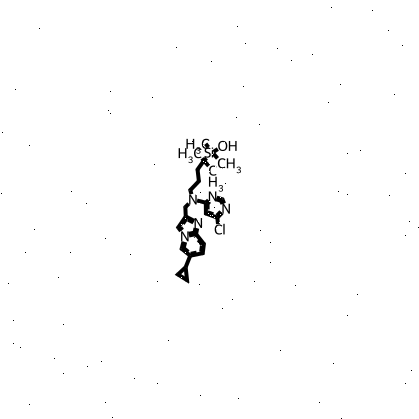 CC(C)(CCCN(Cc1cn2cc(C3CC3)ccc2n1)c1cc(Cl)ncn1)[Si](C)(C)O